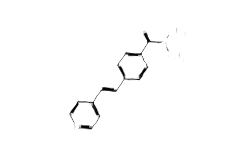 CN(C)C(=O)c1ccc(/C=C/c2ccncc2)cc1